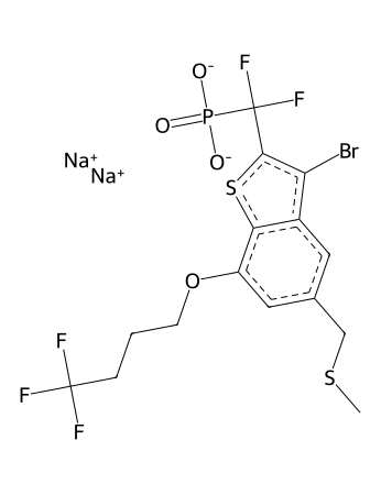 CSCc1cc(OCCCC(F)(F)F)c2sc(C(F)(F)P(=O)([O-])[O-])c(Br)c2c1.[Na+].[Na+]